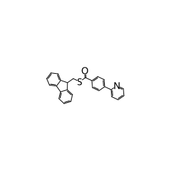 O=C(SCC1c2ccccc2-c2ccccc21)c1ccc(-c2ccccn2)cc1